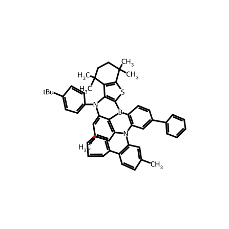 Cc1ccc(-c2ccccc2)c(N2c3cc(-c4ccccc4)ccc3B3c4sc5c(c4N(c4ccc(C(C)(C)C)cc4)c4cc(C)cc2c43)C(C)(C)CCC5(C)C)c1